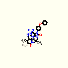 CC(C(=O)NCC(C)(C)Cn1c(=O)n(-c2ccc(Oc3ccccc3)cc2)c2c(N)ncnc21)=C(C)C(C)C#N